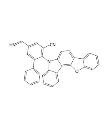 N#Cc1cc(C=N)cc(-c2ccccc2)c1-n1c2ccccc2c2c3oc4ccccc4c3ccc21